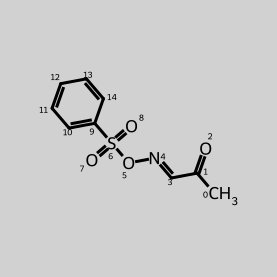 CC(=O)C=NOS(=O)(=O)c1ccccc1